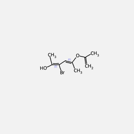 C=C(C)O/C(C)=C/C(Br)=C(\C)O